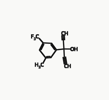 C#CC(O)(C#C)c1cc(C)cc(C(F)(F)F)c1